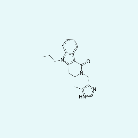 CCCn1c2c(c3ccccc31)C(=O)N(Cc1nc[nH]c1C)CC2